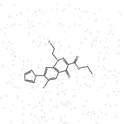 CCOC(=O)c1cn(CCF)c2cc(-n3cccc3)c(F)cc2c1=O